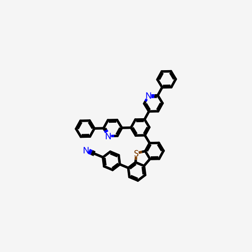 N#Cc1ccc(-c2cccc3c2sc2c(-c4cc(-c5ccc(-c6ccccc6)nc5)cc(-c5ccc(-c6ccccc6)nc5)c4)cccc23)cc1